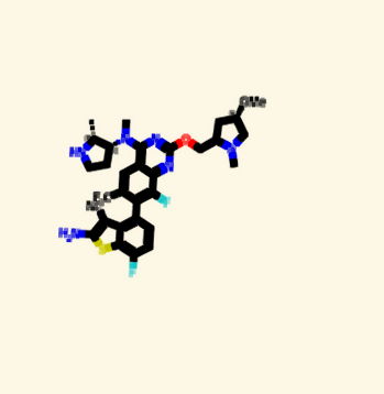 CO[C@@H]1CC(COc2nc(N(C)[C@@H]3CCN[C@@H]3C)c3cc(C(F)(F)F)c(-c4ccc(F)c5sc(N)c(C#N)c45)c(F)c3n2)N(C)C1